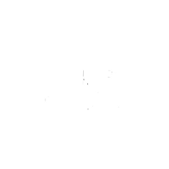 CC(C=O)NC(=O)C1(Br)CC1